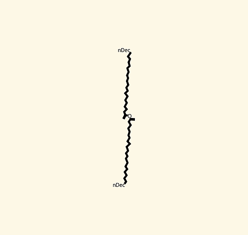 C=C(CCCCCCCCCCCCCCCCCCCCCCCCCCCCCC)OC(=C)CCCCCCCCCCCCCCCCCCCCCCCCCCCCCC